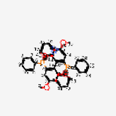 COC1=CC(P(c2ccccc2)c2ccccc2)=C(c2c(P(c3ccccc3)c3ccccc3)cc(OC)nc2OC)C(OC)C1